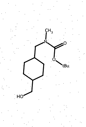 CN(CC1CCC(CO)CC1)C(=O)OC(C)(C)C